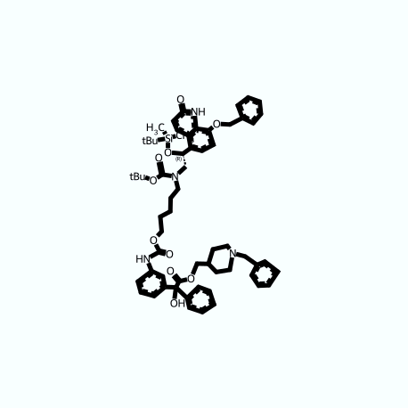 CC(C)(C)OC(=O)N(CCCCCOC(=O)Nc1cccc(C(O)(C(=O)OCC2CCN(Cc3ccccc3)CC2)c2ccccc2)c1)C[C@H](O[Si](C)(C)C(C)(C)C)c1ccc(OCc2ccccc2)c2[nH]c(=O)ccc12